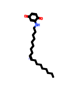 CCCCCCCC/C=C\CCCCCCCCNC1=CC(=O)C=CC1=O